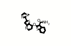 Cn1ccnc1-c1cc2nccc(Oc3sc4ccccc4c3C(N)=O)c2s1